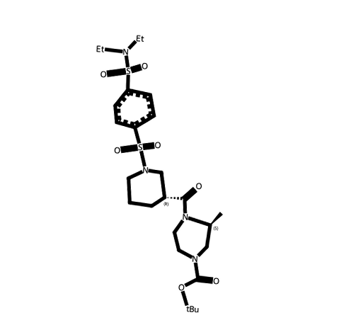 CCN(CC)S(=O)(=O)c1ccc(S(=O)(=O)N2CCC[C@@H](C(=O)N3CCN(C(=O)OC(C)(C)C)C[C@@H]3C)C2)cc1